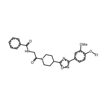 CCOc1ccc(-c2noc(C3CCN(C(=O)CNC(=O)c4ccccc4)CC3)n2)cc1OC